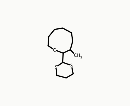 CC1CCCCCCC[C]1C1SCCCS1